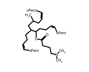 CCCCC/C=C\CCC(CC(C)C/C=C\CCCCC)C(CC/C=C\CCCCC)OC(=O)CCCN(C)C